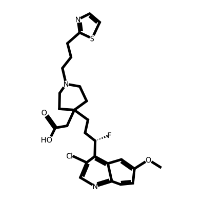 COc1ccc2ncc(Cl)c([C@@H](F)CCC3(CC(=O)O)CCN(CCCc4nccs4)CC3)c2c1